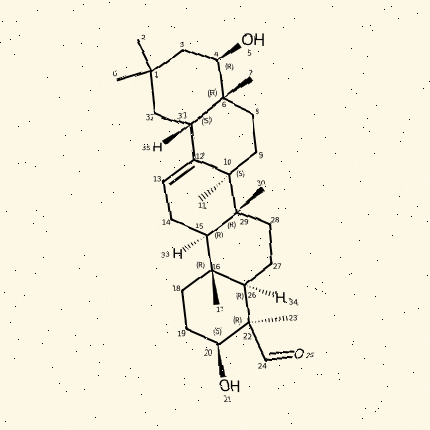 CC1(C)C[C@@H](O)[C@]2(C)CC[C@]3(C)C(=CC[C@@H]4[C@@]5(C)CC[C@H](O)[C@](C)(C=O)[C@@H]5CC[C@]43C)[C@@H]2C1